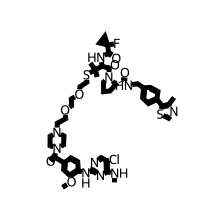 CNc1nc(Nc2ccc(C(=O)N3CCN(CCOCCOCCSC(C)(C)C(NC(=O)C4(F)CC4)C(=O)N4CCC[C@H]4C(=O)NCc4ccc(-c5scnc5C)cc4)CC3)cc2OC)ncc1Cl